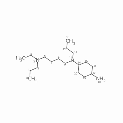 CCCN(CC)CCCCN(CCC)C1CCC(N)CC1